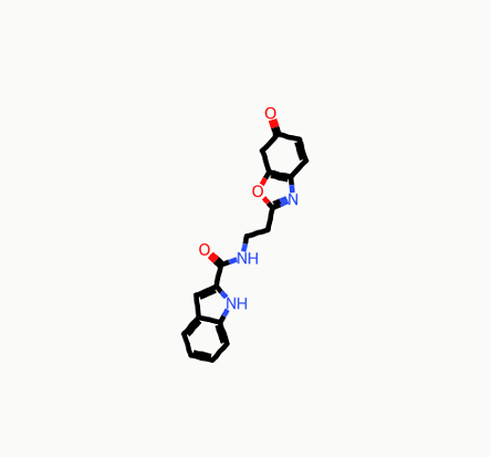 O=C1C=Cc2nc(CCNC(=O)c3cc4ccccc4[nH]3)oc2C1